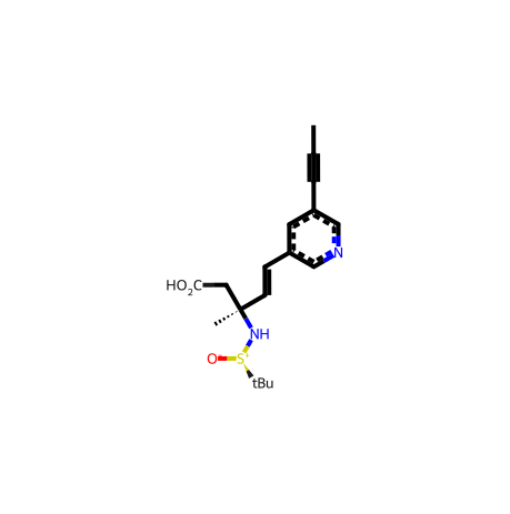 CC#Cc1cncc(/C=C/[C@](C)(CC(=O)O)N[S@+]([O-])C(C)(C)C)c1